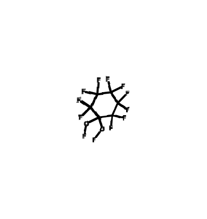 FOC1(OF)C(F)(F)C(F)(F)C(F)(F)C(F)(F)C1(F)F